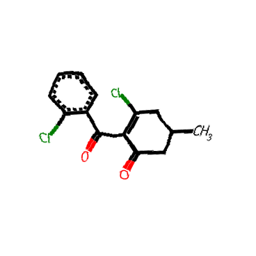 CC1CC(=O)C(C(=O)c2ccccc2Cl)=C(Cl)C1